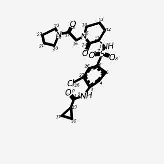 O=C(Nc1ccc(S(=O)(=O)N[C@H]2CCCN(CC(=O)N3CCCC3)C2=O)cc1Cl)C1CC1